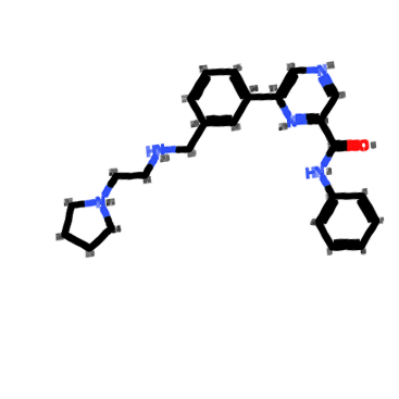 O=C(Nc1ccccc1)c1cncc(-c2cccc(CNCCN3CCCC3)c2)n1